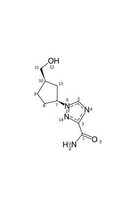 NC(=O)c1ncn([C@H]2CC[C@@H](CO)C2)n1